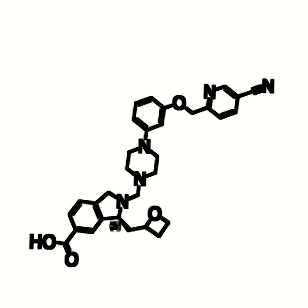 N#Cc1ccc(COc2cccc(N3CCN(CN4Cc5ccc(C(=O)O)cc5[C@@H]4CC4CCO4)CC3)c2)nc1